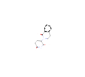 O=C1CCC(N2CCc3ccccc3C2=O)C(O)N1